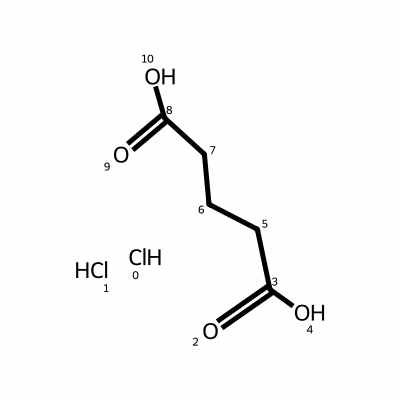 Cl.Cl.O=C(O)CCCC(=O)O